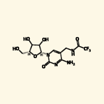 Nc1nc(=O)n([C@@H]2O[C@H](CO)C(O)C2O)cc1CNC(=O)C(F)(F)F